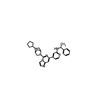 C[C@H](Nc1cc(-c2cc3nccn3c(N3CC4CC3CN4C3CCCC3)n2)ccn1)c1ccccc1